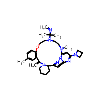 C=NC(C)(C)N1CCOc2ccc(C)cc2C(=C)N2CCCCC2c2cc3nc(N4CCC4)cc(n3n2)N(C)CC1